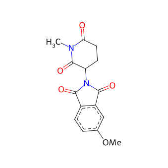 COc1ccc2c(c1)C(=O)N(C1CCC(=O)N(C)C1=O)C2=O